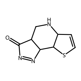 O=C1N=NC2C1CNC1C=CSC12